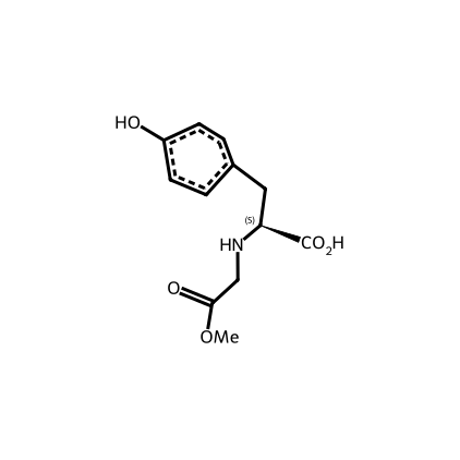 COC(=O)CN[C@@H](Cc1ccc(O)cc1)C(=O)O